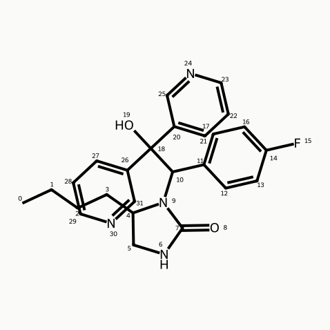 CCCCC1CNC(=O)N1C(c1ccc(F)cc1)C(O)(c1cccnc1)c1cccnc1